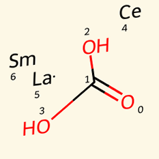 O=C(O)O.[Ce].[La].[Sm]